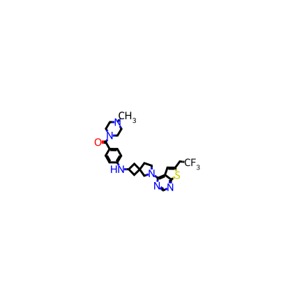 CN1CCN(C(=O)c2ccc(NC3CC4(CCN(c5ncnc6sc(CC(F)(F)F)cc56)C4)C3)cc2)CC1